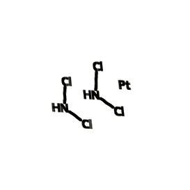 ClNCl.ClNCl.[Pt]